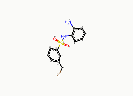 Nc1ccccc1NS(=O)(=O)c1cccc(CBr)c1